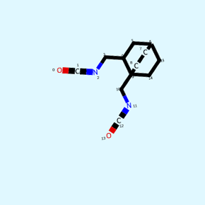 O=C=NCC1CC2CCC1(CN=C=O)CC2